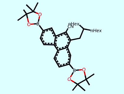 CCCCCCC(CCCCCC)Cc1c(C#N)c2cc(B3OC(C)(C)C(C)(C)O3)ccc2c2ccc(B3OC(C)(C)C(C)(C)O3)cc12